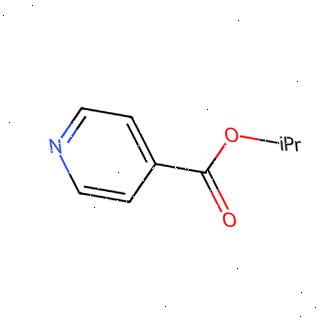 CC(C)OC(=O)c1ccncc1